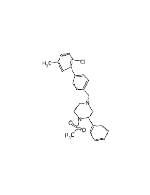 Cc1ccc(Cl)c(-c2ccc(CN3CCN(S(C)(=O)=O)C(c4ccccc4)C3)cc2)c1